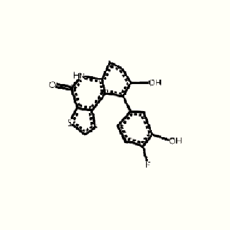 O=c1[nH]c2ccc(O)c(-c3ccc(F)c(O)c3)c2c2ccsc12